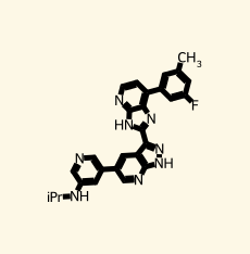 Cc1cc(F)cc(-c2ccnc3[nH]c(-c4n[nH]c5ncc(-c6cncc(NC(C)C)c6)cc45)nc23)c1